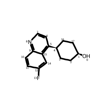 O[C@H]1CC[C@@H](c2ccnc3ccc(F)cc32)CC1